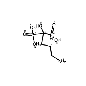 NCCCC(O)([PH](=O)O)P(=O)(O)O